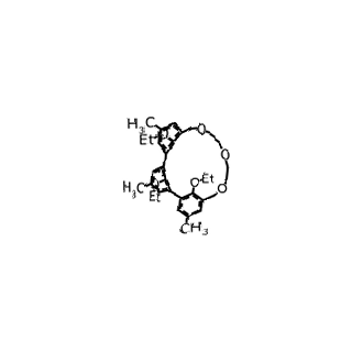 CCOc1c2cc(C)cc1-c1cc(C)cc(c1OCC)-c1cc(C)cc(c1OCC)COCCOCCOC2